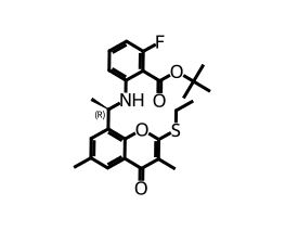 CCSc1oc2c([C@@H](C)Nc3cccc(F)c3C(=O)OC(C)(C)C)cc(C)cc2c(=O)c1C